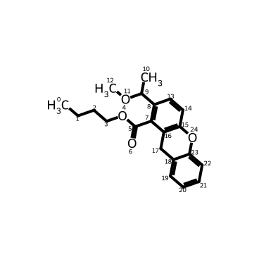 CCCCOC(=O)c1c(C(C)OC)ccc2c1Cc1ccccc1O2